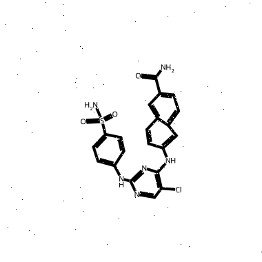 NC(=O)c1ccc2cc(Nc3nc(Nc4ccc(S(N)(=O)=O)cc4)ncc3Cl)ccc2c1